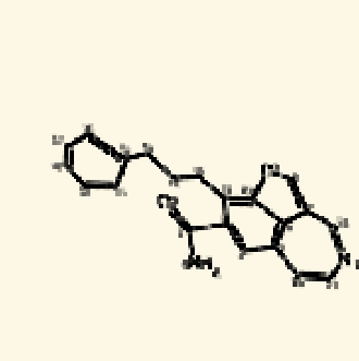 NC(=O)c1cc2c3c(coc3c1CCCc1ccccc1)C=NC=C2